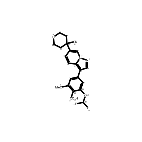 COc1cc(-c2cnn3cc(C4(C#N)CCOCC4)ccc23)cc(OC(F)F)c1C(=O)O